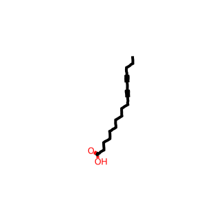 CCCC#CC#CCCCCCCCCCC(=O)O